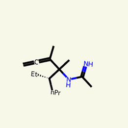 C=C=C(C)C(C)(NC(C)=N)[C@@H](CC)CCC